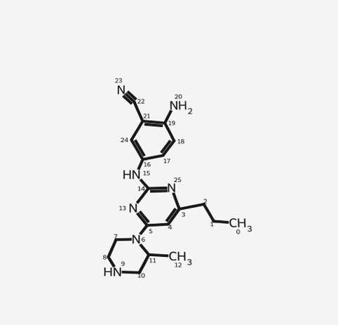 CCCc1cc(N2CCNCC2C)nc(Nc2ccc(N)c(C#N)c2)n1